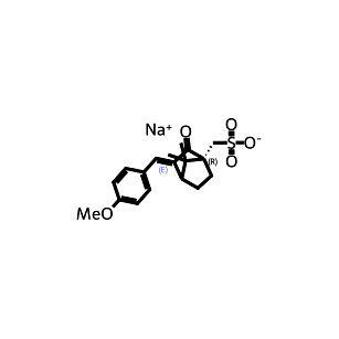 COc1ccc(/C=C2/C(=O)[C@@]3(CS(=O)(=O)[O-])CCC2C3(C)C)cc1.[Na+]